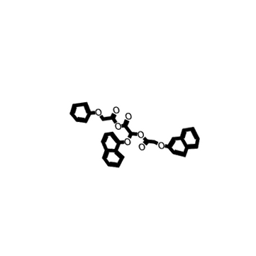 O=C(COc1ccccc1)OC(=O)C(OC(=O)COc1ccc2ccccc2c1)Oc1cccc2ccccc12